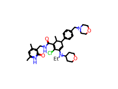 CCN(C1=CC(c2ccc(CN3CCOCC3)cc2)C(C)C(C(=O)NCc2c(C)cc(C)[nH]c2=O)=C1Cl)C1CCOCC1